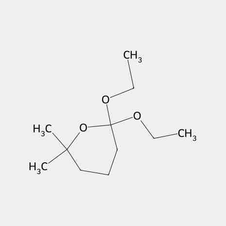 CCOC1(OCC)CCCC(C)(C)O1